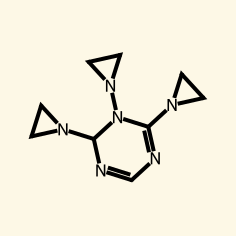 C1=NC(N2CC2)N(N2CC2)C(N2CC2)=N1